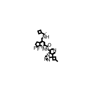 CC1CC(c2cncc(NC(=O)c3cc(CN[C@@H](C)C4CCC4)c4c(n3)C(F)(F)CC4)c2)(c2nncn2C)C1